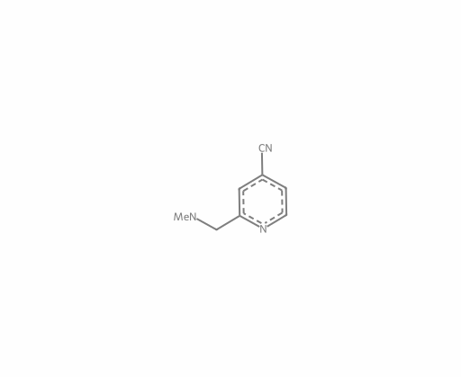 CNCc1cc(C#N)ccn1